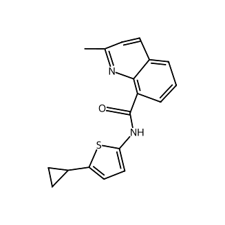 Cc1ccc2cccc(C(=O)Nc3ccc(C4CC4)s3)c2n1